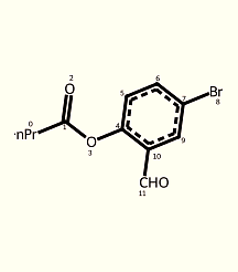 CC[CH]C(=O)Oc1ccc(Br)cc1C=O